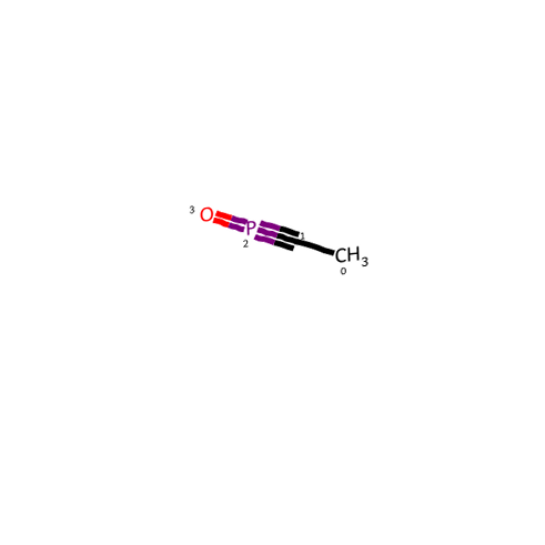 CC#P=O